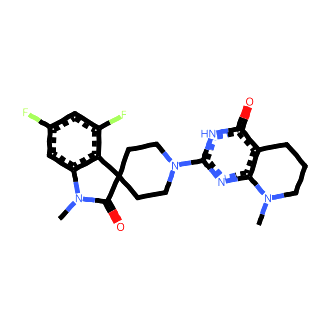 CN1CCCc2c1nc(N1CCC3(CC1)C(=O)N(C)c1cc(F)cc(F)c13)[nH]c2=O